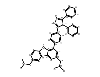 CC(C)Cc1ccc2oc3c(-c4ccc(-c5nnc(-c6ccccc6)n5-c5ccccc5)cc4)cc(CC(C)C)cc3c2c1